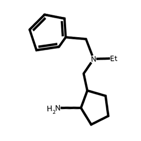 CCN(Cc1ccccc1)CC1CCCC1N